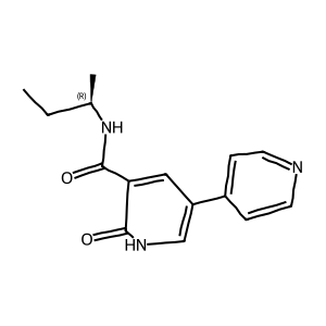 CC[C@@H](C)NC(=O)c1cc(-c2ccncc2)c[nH]c1=O